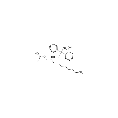 CC(C)(c1ccccc1O)c1ccccc1O.CCCCCCCCCCOP(O)O